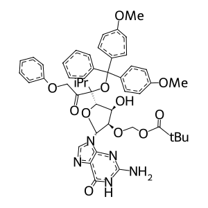 COc1ccc(C(OC(C(=O)COc2ccccc2)(C(C)C)[C@H]2O[C@@H](n3cnc4c(=O)[nH]c(N)nc43)[C@H](OCOC(=O)C(C)(C)C)[C@@H]2O)(c2ccccc2)c2ccc(OC)cc2)cc1